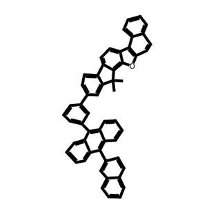 CC1(C)c2cc(-c3cccc(-c4c5ccccc5c(-c5ccc6ccccc6c5)c5ccccc45)c3)ccc2-c2ccc3c(oc4ccc5ccccc5c43)c21